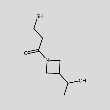 CC(O)C1CN(C(=O)CCS)C1